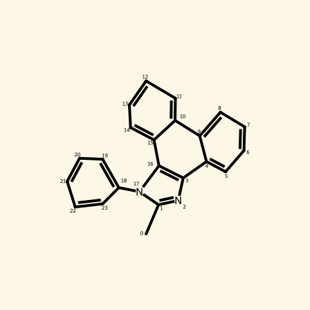 Cc1nc2c3ccccc3c3ccccc3c2n1-c1ccccc1